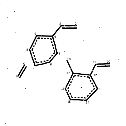 C=C.C=Cc1ccccc1.C=Cc1ccccc1C